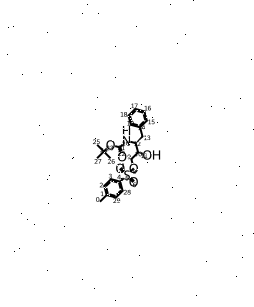 Cc1ccc(S(=O)(=O)OC[C@H](O)[C@H](Cc2ccccc2)NC(=O)OC(C)(C)C)cc1